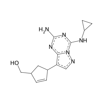 Nc1nc(NC2CC2)n2ncc(C3C=CC(CO)C3)c2n1